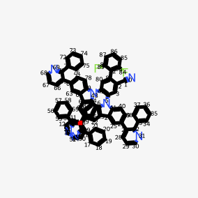 N#Cc1cc(-n2c3ccc(-c4cccnc4-c4ccccc4)cc3c3cc(-c4cccnc4-c4ccccc4)ccc32)c(-n2c3ccc(-c4cccnc4-c4ccccc4)cc3c3cc(-c4cccnc4-c4ccccc4)ccc32)cc1-c1c(F)cccc1F